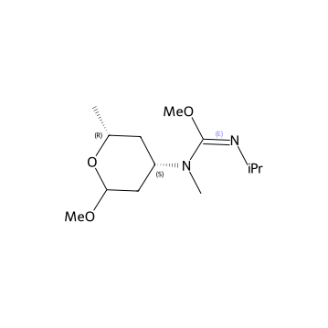 CO/C(=N/C(C)C)N(C)[C@@H]1CC(OC)O[C@H](C)C1